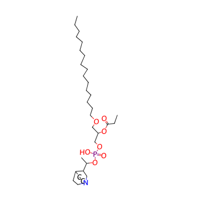 CCCCCCCCCCCCCCCCOCC(COP(=O)(O)OC(C)C1CN2CCC1CC2)OC(=O)CC